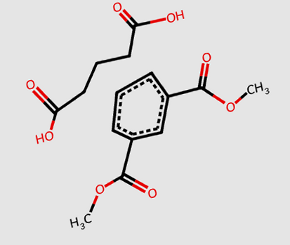 COC(=O)c1cccc(C(=O)OC)c1.O=C(O)CCCC(=O)O